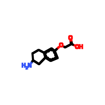 NC1CCc2cc(OCC(=O)O)ccc2C1